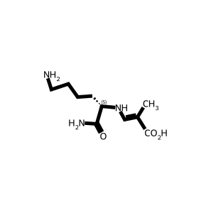 CC(=CN[C@@H](CCCCN)C(N)=O)C(=O)O